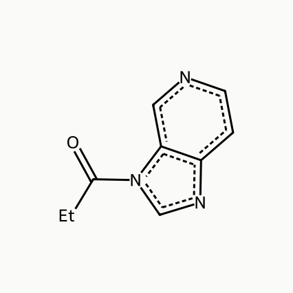 [CH2]CC(=O)n1cnc2ccncc21